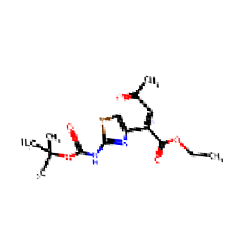 CCOC(=O)/C(=C/C(C)=O)c1csc(NC(=O)OC(C)(C)C)n1